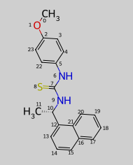 COc1ccc(NC(=S)N[C@@H](C)c2cccc3ccccc23)cc1